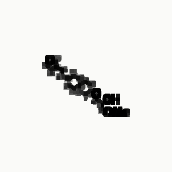 COCC(O)COC1CCC2(CCC(CCc3ccoc3)CC2)CC1